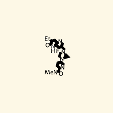 CCc1cc2ncc(CN3CCN(c4ccc(C(=O)NC)nc4)C4CC43)c(F)c2[nH]c1=O